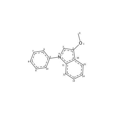 COc1cn(-c2ccccc2)c2ccccc12